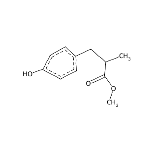 COC(=O)C(C)Cc1ccc(O)cc1